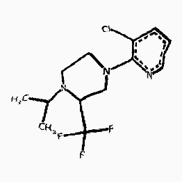 CC(C)N1CCN(c2ncccc2Cl)CC1C(F)(F)F